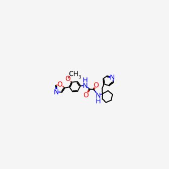 COc1cc(NC(=O)C(=O)NC2(Cc3ccncc3)CCCCC2)ccc1-c1cnco1